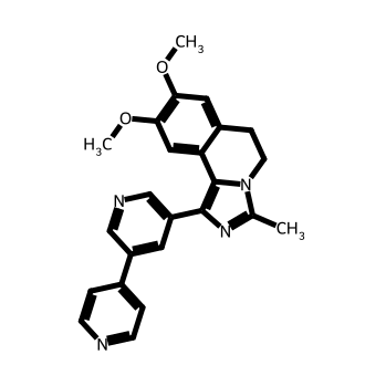 COc1cc2c(cc1OC)-c1c(-c3cncc(-c4ccncc4)c3)nc(C)n1CC2